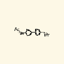 CC(=O)[C@H]1C[C@@H]1c1ccc(-c2ccc(CC(C)C)cc2)cc1